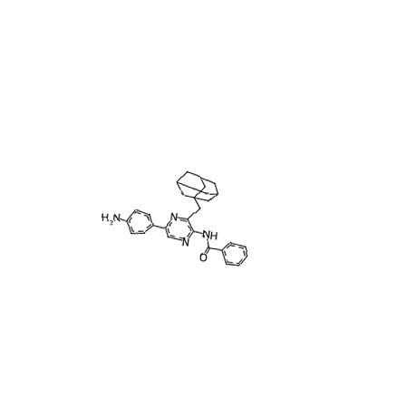 Nc1ccc(-c2cnc(NC(=O)c3ccccc3)c(CC34CC5CC(CC(C5)C3)C4)n2)cc1